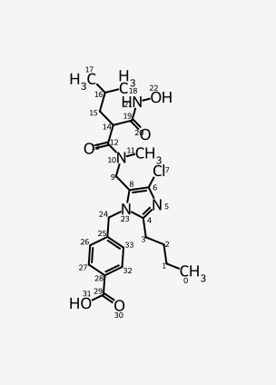 CCCCc1nc(Cl)c(CN(C)C(=O)C(CC(C)C)C(=O)NO)n1Cc1ccc(C(=O)O)cc1